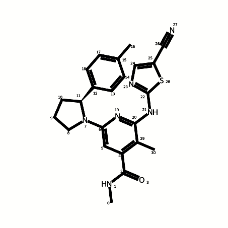 CNC(=O)c1cc(N2CCC[C@H]2c2ccc(C)cc2)nc(Nc2ncc(C#N)s2)c1C